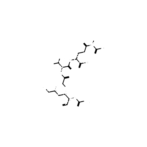 CC(=O)N[C@@H](C=O)[C@@H](OCC(=O)NC(C(=O)NC(CCC(=O)N(C)C(=O)O)C(N)=O)C(C)C)[C@H](O)[C@H](O)CO